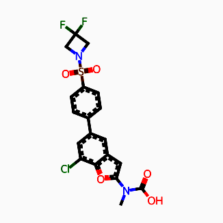 CN(C(=O)O)c1cc2cc(-c3ccc(S(=O)(=O)N4CC(F)(F)C4)cc3)cc(Cl)c2o1